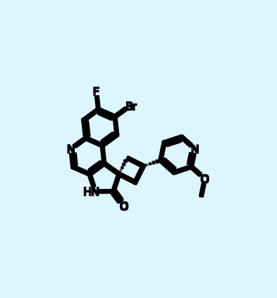 COc1cc([C@H]2C[C@]3(C2)C(=O)Nc2cnc4cc(F)c(Br)cc4c23)ccn1